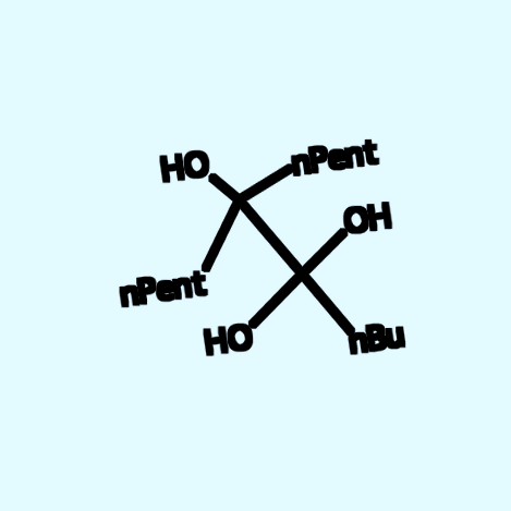 CCCCCC(O)(CCCCC)C(O)(O)CCCC